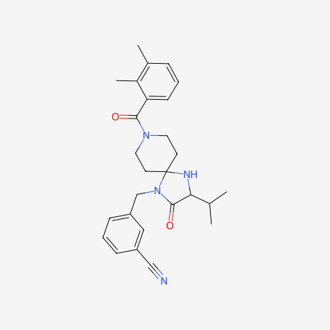 Cc1cccc(C(=O)N2CCC3(CC2)NC(C(C)C)C(=O)N3Cc2cccc(C#N)c2)c1C